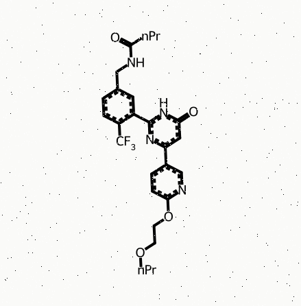 CCCOCCOc1ccc(-c2cc(=O)[nH]c(-c3cc(CNC(=O)CCC)ccc3C(F)(F)F)n2)cn1